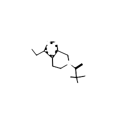 CCc1n[nH]c2c1CCN(C(=O)C(C)(C)C)C2